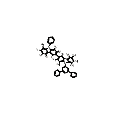 [2H]c1c([2H])c([2H])c2c(c1[2H])c1c([2H])c(-c3c([2H])c([2H])c4c(c3[2H])c3c([2H])c([2H])c([2H])c([2H])c3n4-c3cc(-c4ccccc4)cc(-c4ccccc4)c3)c([2H])c([2H])c1n2-c1ccccc1